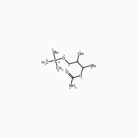 CC(C)(C)C(OC(N)=O)C(O)CO[Si](C)(C)C(C)(C)C